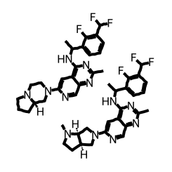 Cc1nc(NC(C)c2cccc(C(F)F)c2F)c2cc(N3CCN4CCC[C@H]4C3)ncc2n1.Cc1nc(NC(C)c2cccc(C(F)F)c2F)c2cc(N3C[C@H]4CCN(C)[C@H]4C3)ncc2n1